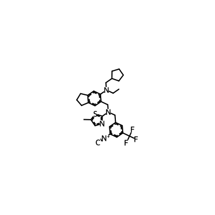 [C-]#[N+]c1cc(CN(Cc2cc3c(cc2N(CC)CC2CCCC2)CCC3)c2ncc(C)s2)cc(C(F)(F)F)c1